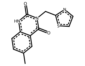 Cc1ccc2[nH]c(=O)n(Cc3nccs3)c(=O)c2c1